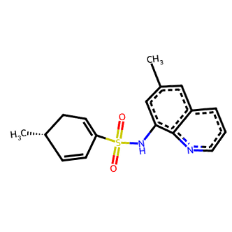 Cc1cc(NS(=O)(=O)C2=CC[C@@H](C)C=C2)c2ncccc2c1